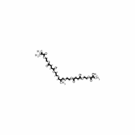 C=C(C)C(=O)OCCOC(=O)CCC(=O)OCCSCC(C)CSCCOC(=O)CCC(=O)OCCOC(=O)C(=C)C